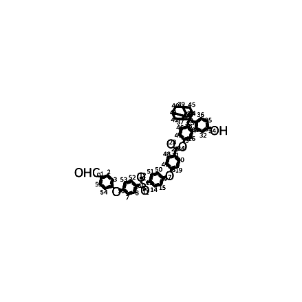 O=Cc1ccc(Oc2ccc(S(=O)(=O)c3ccc(Oc4ccc(C(=O)Oc5ccc(C6(c7ccc(O)cc7)C7CC8CC(C7)CC6C8)cc5)cc4)cc3)cc2)cc1